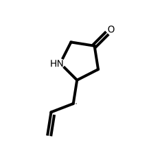 C=C[CH]C1CC(=O)CN1